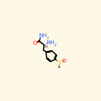 C[S+]([O-])c1ccc(C[C@@H](N)C(N)=O)cc1